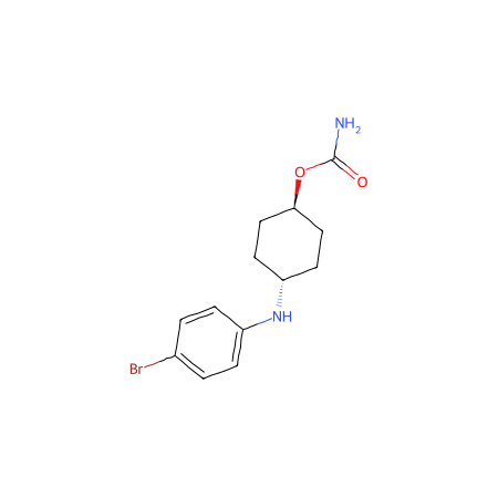 NC(=O)O[C@H]1CC[C@H](Nc2ccc(Br)cc2)CC1